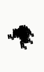 C=C([C@H](CC(=C)N(C)[C@@H](CC(C)C)C(N)=O)N(C)C(=C)[C@H](C1CCCC1)N(C)C(=C)C1(NC(=O)CN(C)CCC)CCCC1)N(C)C